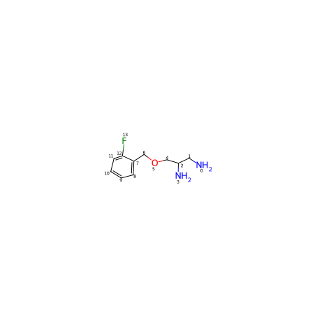 NCC(N)COCc1ccccc1F